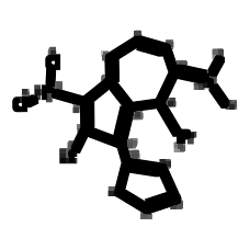 CCC1=[C]([Hf]([Cl])[Cl])C2=CC=CC(=[Si](C)C)C(C(C)C)C2=C1C1=CC=CC1